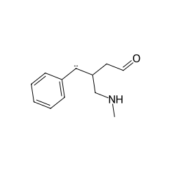 CNCC([C]c1ccccc1)CC=O